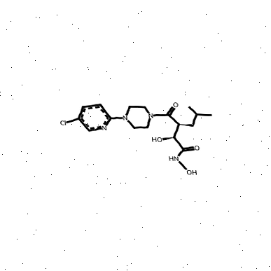 CC(C)C[C@H](C(=O)N1CCN(c2ccc(Cl)cn2)CC1)[C@H](O)C(=O)NO